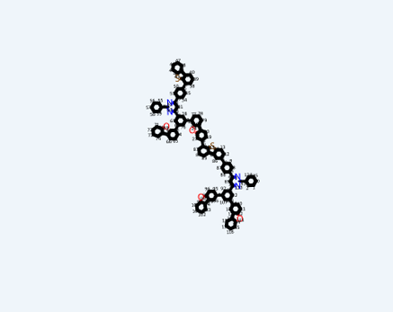 c1ccc(-c2nc(-c3ccc(-c4ccc5sc6c(-c7ccc8c(c7)oc7c(-c9cc(-c%10cc(-c%11ccc(-c%12cccc%13c%12sc%12ccccc%12%13)cc%11)nc(-c%11ccccc%11)n%10)cc(-c%10cccc%11c%10oc%10ccccc%10%11)c9)cccc78)cccc6c5c4)cc3)cc(-c3cc(-c4ccc5oc6ccccc6c5c4)cc(-c4ccc5oc6ccccc6c5c4)c3)n2)cc1